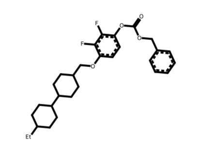 CCC1CCC(C2CCC(COc3ccc(OC(=O)OCc4ccccc4)c(F)c3F)CC2)CC1